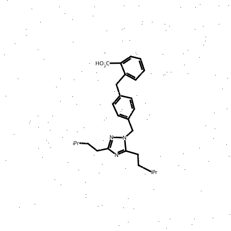 CC(C)CCc1nc(CCC(C)C)n(Cc2ccc(Cc3ccccc3C(=O)O)cc2)n1